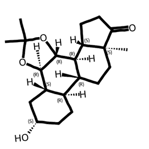 CC1(C)O[C@@H]2[C@H]3C[C@@H](O)CC[C@@H]3[C@H]3CC[C@]4(C)C(=O)CC[C@H]4[C@@H]3[C@H]2O1